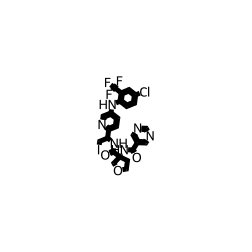 O=C(N[C@@]1(C(=O)NC(CI)c2ccc(Nc3ccc(Cl)cc3C(F)(F)F)cn2)CCOC1)c1cncnc1